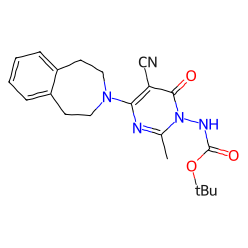 Cc1nc(N2CCc3ccccc3CC2)c(C#N)c(=O)n1NC(=O)OC(C)(C)C